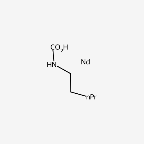 CCCCCNC(=O)O.[Nd]